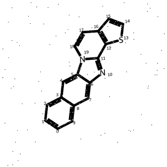 c1ccc2cc3c(cc2c1)nc1c2sccc2ccn31